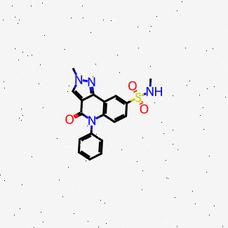 CNS(=O)(=O)c1ccc2c(c1)c1nn(C)cc1c(=O)n2-c1ccccc1